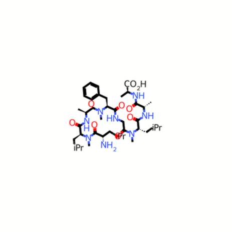 CC(C)C[C@H](N)C(=O)N(C)[C@@H](CC(C)C)C(=O)N[C@@H](C)C(=O)N(C)[C@@H](Cc1ccccc1)C(=O)NCC(=O)N(C)[C@@H](CC(C)C)C(=O)N[C@@H](C)C(=O)N[C@@H](C)C(=O)O